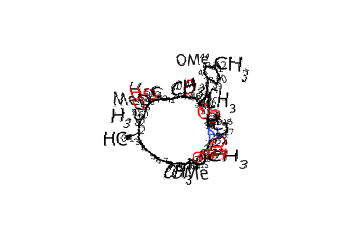 C#C[C@@H]1/C=C/C=C/C=C(\C)[C@@H](OC)C[C@@H]2CC[C@@H](C)[C@@](O)(O2)C(=O)C(=O)N2CCCC[C@H]2C(=O)O[C@H]([C@H](C)C[C@@H]2CC[C@@H](C)[C@H](OC)C2)CC(=O)[C@H](C)/C=C(\C)[C@@H](O)[C@@H](OC)C(=O)[C@H](C)C1